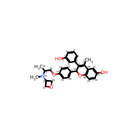 CC1=C(c2cccc(O)c2)C(c2ccc(OCC(C)N(C)C3COC3)cc2)Oc2ccc(O)cc21